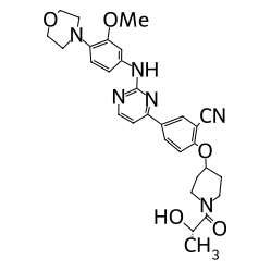 COc1cc(Nc2nccc(-c3ccc(OC4CCN(C(=O)[C@H](C)O)CC4)c(C#N)c3)n2)ccc1N1CCOCC1